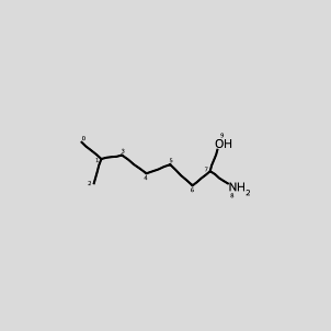 CC(C)CCCCC(N)O